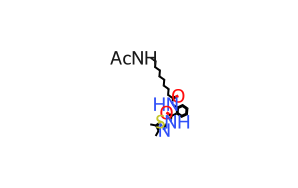 CC(=O)NCCCCCCCCC(=O)Nc1ccccc1C(=O)Nc1nc(C)c(C)s1